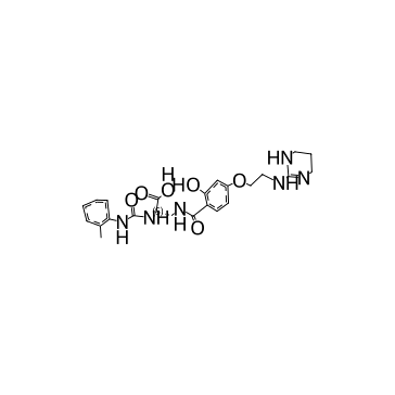 Cc1ccccc1NC(=O)N[C@@H](CNC(=O)c1ccc(OCCNC2=NCCCN2)cc1O)C(=O)O